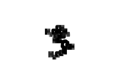 C=C=NC1CC(NC(=O)OC(C)(C)C)CCN1